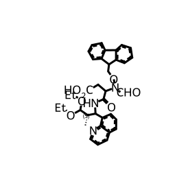 CCOC(OCC)[C@@H](C)C(NC(=O)C(CC(=O)O)N(C=O)OCC1c2ccccc2-c2ccccc21)c1cccc2cccnc12